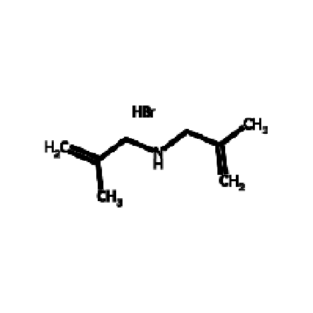 Br.C=C(C)CNCC(=C)C